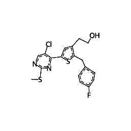 CSc1ncc(Cl)c(-c2cc(CCO)c(Cc3ccc(F)cc3)s2)n1